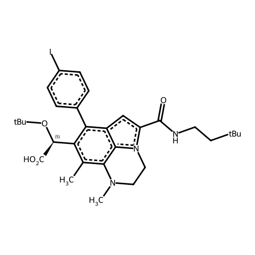 Cc1c([C@H](OC(C)(C)C)C(=O)O)c(-c2ccc(I)cc2)c2cc(C(=O)NCCC(C)(C)C)n3c2c1N(C)CC3